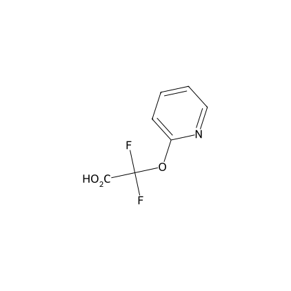 O=C(O)C(F)(F)Oc1ccccn1